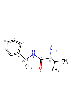 CC(C)[C@@H](N)C(=O)N[C@H](C)c1ccccc1